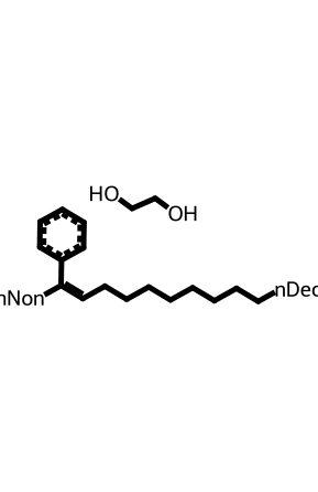 CCCCCCCCCCCCCCCCCC/C=C(/CCCCCCCCC)c1ccccc1.OCCO